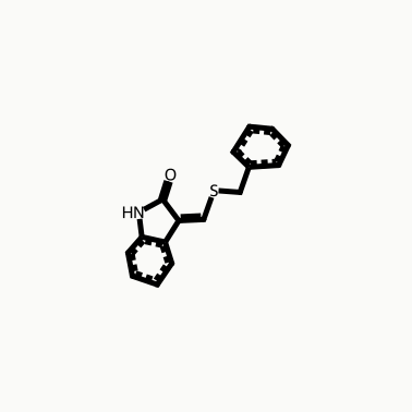 O=C1Nc2ccccc2C1=CSCc1ccccc1